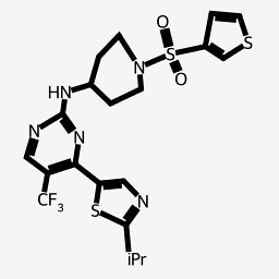 CC(C)c1ncc(-c2nc(NC3CCN(S(=O)(=O)c4ccsc4)CC3)ncc2C(F)(F)F)s1